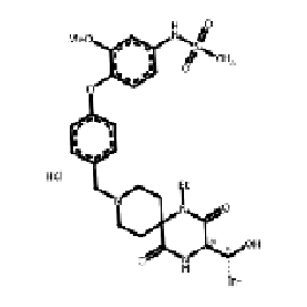 CCN1C(=O)[C@@H]([C@H](O)C(C)C)NC(=O)C12CCN(Cc1ccc(Oc3ccc(NS(C)(=O)=O)cc3OC)cc1)CC2.Cl